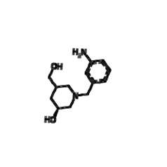 Nc1cccc(CN2CC(CO)C[C@H](O)C2)c1